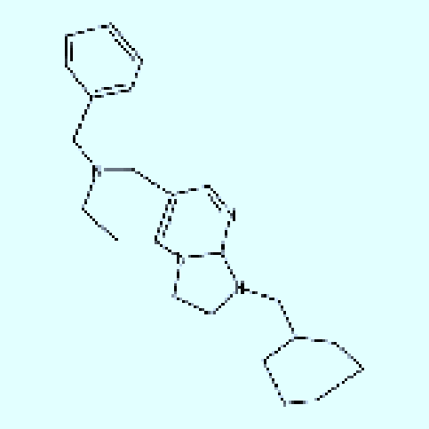 C1=NC2N(CC3CCCCC3)CCN2C2=C1CN(Cc1ccccc1)CC2